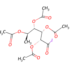 CC(=O)O[C@H]([C@H](OC(C)=O)[C@@H](OC(C)=O)C(=O)I)[C@@H](C)OC(C)=O